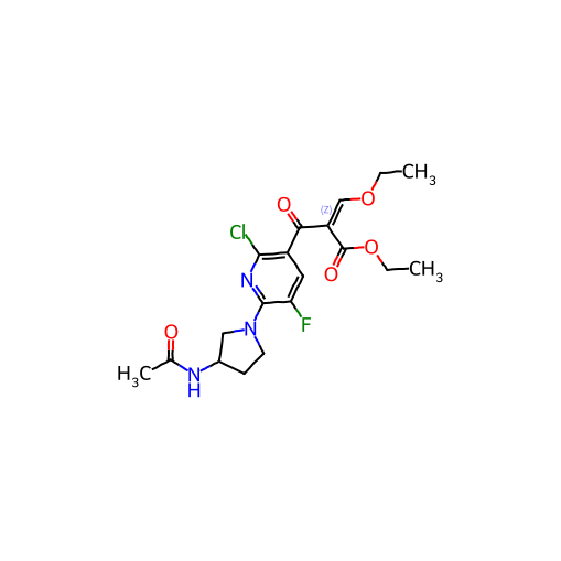 CCO/C=C(\C(=O)OCC)C(=O)c1cc(F)c(N2CCC(NC(C)=O)C2)nc1Cl